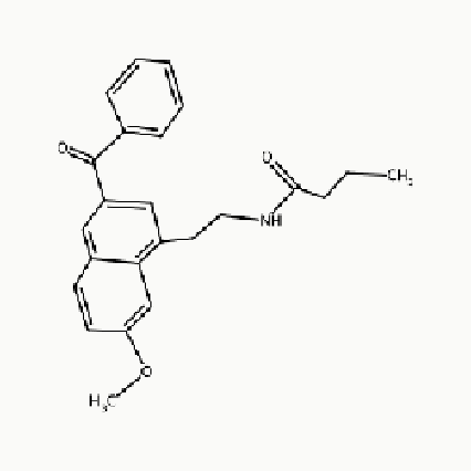 CCCC(=O)NCCc1cc(C(=O)c2ccccc2)cc2ccc(OC)cc12